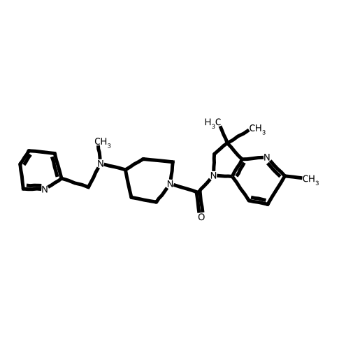 Cc1ccc2c(n1)C(C)(C)CN2C(=O)N1CCC(N(C)Cc2ccccn2)CC1